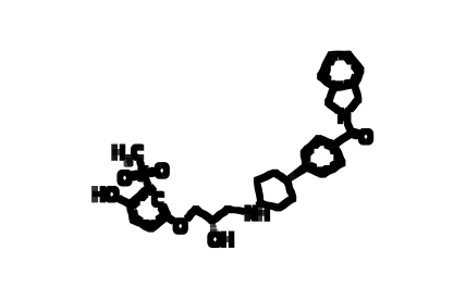 CS(=O)(=O)c1cc(OC[C@@H](O)CN[C@H]2CC[C@H](c3ccc(C(=O)N4Cc5ccccc5C4)cc3)CC2)ccc1O